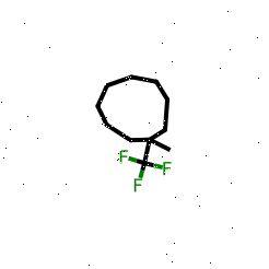 CC1(C(F)(F)F)CCCCCCCC1